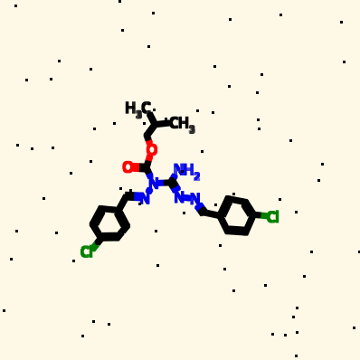 CC(C)COC(=O)N(N=Cc1ccc(Cl)cc1)C(N)=NN=Cc1ccc(Cl)cc1